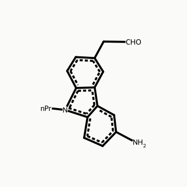 CCCn1c2ccc(N)cc2c2cc(CC=O)ccc21